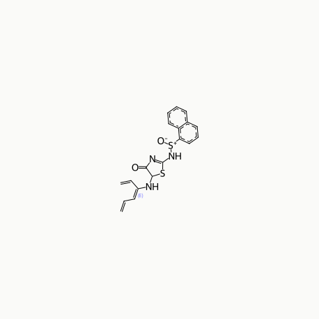 C=C/C=C(\C=C)NC1SC(N[S+]([O-])c2cccc3ccccc23)=NC1=O